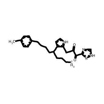 CCCCC(CCCCc1ccc(C)cc1)c1cc[nH]c1CC(=O)C(=O)c1nc[nH]n1